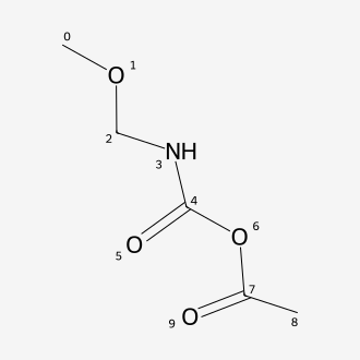 COCNC(=O)OC(C)=O